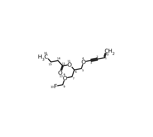 C=CC#COCC(COCF)OC(=O)CCC